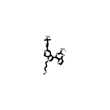 COCCCn1cc(-c2nc(N)nc3ccsc23)c2cc(C#CC(C)(C)O)ncc21